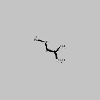 CC(C)NCC(N)C(=O)O